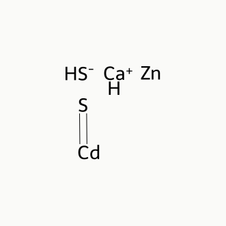 [CaH+].[SH-].[S]=[Cd].[Zn]